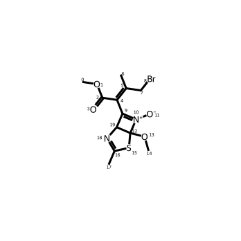 COC(=O)C(=C(C)CBr)C1=[N+]([O-])C2(OC)SC(C)=NC12